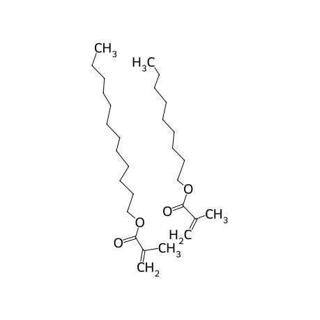 C=C(C)C(=O)OCCCCCCCCC.C=C(C)C(=O)OCCCCCCCCCCCC